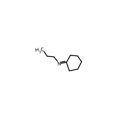 CCCN=C1CCCCC1